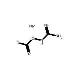 N=C(N)NOC(=O)[O-].[Na+]